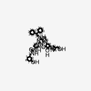 O=C(NCc1cccc(O)c1)N[C@@H]1CCN(c2nc(NCC(c3ccccc3)c3ccccc3)c3ncn([C@@H]4C[C@H](n5cc(CO)cn5)[C@@H](O)[C@H]4O)c3n2)C1